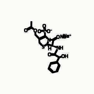 CC(=O)OCC1=C(P(=O)([O-])[O-])N2C(=O)[C@@H](NC(=O)C(O)c3ccccc3)[C@H]2SC1.[Na+].[Na+]